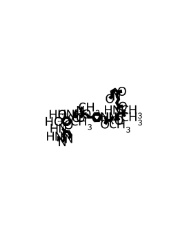 CC(C)[C@H](NC(=O)CCN1C(=O)C=CC1=O)C(=O)N[C@@H](C)C(=O)Nc1ccc(COC(=O)N(C)CC(=O)N[C@@H]2[C@@H](O)[C@@H](O)[C@@H](Nc3ccnc4nc[nH]c34)O[C@H]2C)cc1